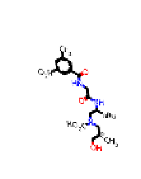 CCCCC(CN(C[C@H](C)CO)C(=O)O)NC(=O)CNC(=O)c1cc([N+](=O)[O-])cc(C(F)(F)F)c1